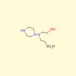 O=S(=O)(O)CCN(CCO)N1CCNCC1